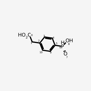 O=C(O)Cc1ccc([PH](=O)O)cc1